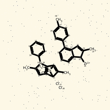 CC1=C2c3c(cc(C)n3-c3ccccc3)C1[Si]2(C)C.CC1=Cc2c(-c3ccc(C)cc3)cccc2[CH]1[Zr+2].[Cl-].[Cl-]